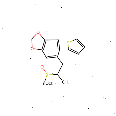 CCCCCCCC[S+]([O-])C(C)Cc1ccc2c(c1)OCO2.c1ccsc1